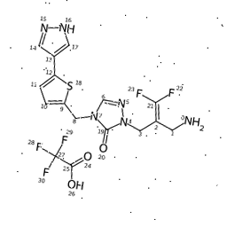 NCC(Cn1ncn(Cc2ccc(-c3cn[nH]c3)s2)c1=O)=C(F)F.O=C(O)C(F)(F)F